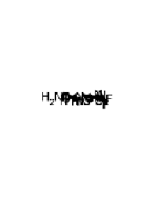 Nc1ccc(-c2cn(Cc3cc(-c4nnc(C(F)F)o4)co3)nn2)cn1